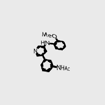 COc1ccccc1Nc1cncc(-c2cccc(NC(C)=O)c2)c1